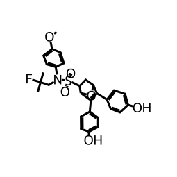 COc1ccc(N(CC(C)(C)F)S(=O)(=O)C2CC3OC2C(c2ccc(O)cc2)=C3c2ccc(O)cc2)cc1